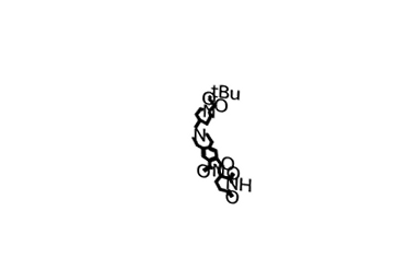 CC(C)(C)OC(=O)N1CCC(CN2CCc3cc4c(cc3CC2)C(=O)N(C2CCC(=O)NC2=O)C4=O)CC1